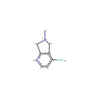 CN1Cc2nccc(F)c2C1